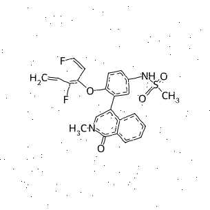 C=C/C(F)=C(\C=C/F)Oc1ccc(NS(C)(=O)=O)cc1-c1cn(C)c(=O)c2ccccc12